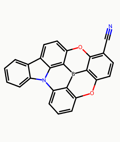 N#Cc1ccc2c3c1Oc1ccc4c5ccccc5n5c4c1B3c1c(cccc1-5)O2